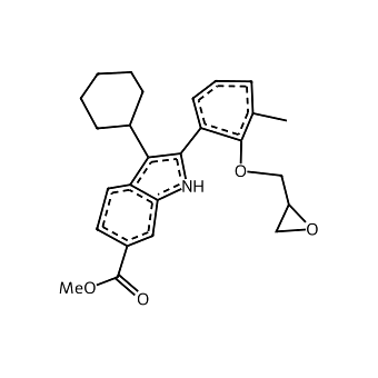 COC(=O)c1ccc2c(C3CCCCC3)c(-c3cccc(C)c3OCC3CO3)[nH]c2c1